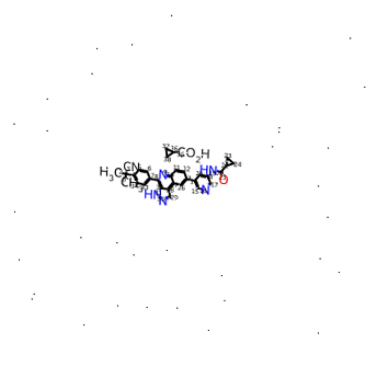 CC(C)(C#N)c1ccc(-c2nc3ccc(-c4cncc(NC(=O)C5CC5)c4)cc3c3cn[nH]c23)cc1.O=C(O)C1CC1